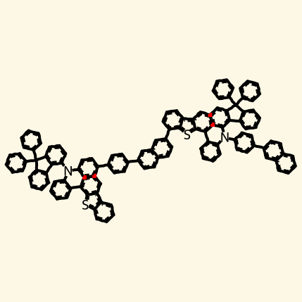 c1ccc(C2(c3ccccc3)c3ccccc3-c3c(N(c4ccc(-c5ccc(-c6ccc7ccc(-c8cccc9c8sc8c(-c%10ccccc%10N(c%10ccc(-c%11ccc%12ccccc%12c%11)cc%10)c%10cccc%11c%10-c%10ccccc%10C%11(c%10ccccc%10)c%10ccccc%10)cccc89)cc7c6)cc5)cc4)c4ccccc4-c4cccc5c4sc4ccccc45)cccc32)cc1